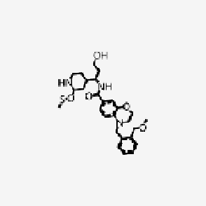 COCc1ccccc1CN1CCOc2cc(C(=O)NC(CCO)C3CCNC(OSC)C3)ccc21